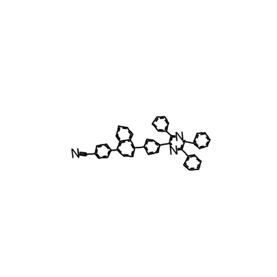 N#Cc1ccc(-c2ccc(-c3ccc(-c4nc(-c5ccccc5)c(-c5ccccc5)nc4-c4ccccc4)cc3)c3ccccc23)cc1